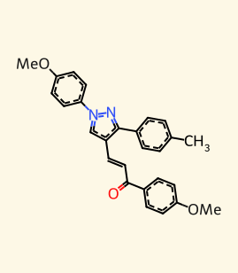 COc1ccc(C(=O)/C=C/c2cn(-c3ccc(OC)cc3)nc2-c2ccc(C)cc2)cc1